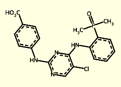 CP(C)(=O)c1ccccc1Nc1nc(Nc2ccc(C(=O)O)cc2)ncc1Cl